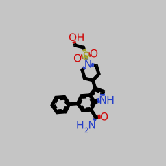 NC(=O)c1cc(-c2ccccc2)cc2c(C3CCN(S(=O)(=O)CCO)CC3)c[nH]c12